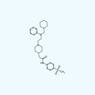 CS(=O)(=O)c1ccc(NC(=O)CC2CCN(CCN(CC3CCCCC3)c3ccccc3)CC2)cc1